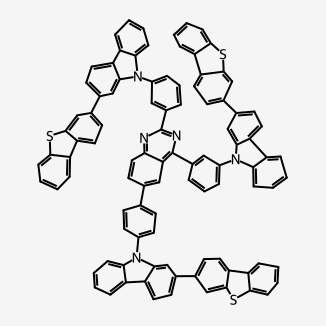 c1cc(-c2nc(-c3cccc(-n4c5ccccc5c5ccc(-c6ccc7c(c6)sc6ccccc67)cc54)c3)c3cc(-c4ccc(-n5c6ccccc6c6ccc(-c7ccc8c(c7)sc7ccccc78)cc65)cc4)ccc3n2)cc(-n2c3ccccc3c3ccc(-c4ccc5c(c4)sc4ccccc45)cc32)c1